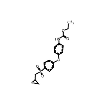 CCOC(=O)Nc1ccc(Oc2ccc(S(=O)(=O)CC3CS3)cc2)cc1